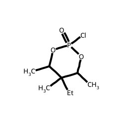 CCC1(C)C(C)OP(=O)(Cl)OC1C